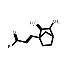 C=C1C(C)C2CCC1(C=CC(=O)CC)C2